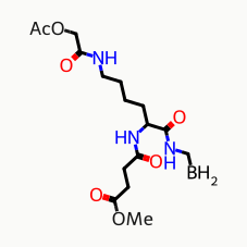 BCNC(=O)C(CCCCNC(=O)COC(C)=O)NC(=O)CCC(=O)OC